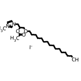 CCCCCCCCCCCCCCCCOCC(Cn1cc[n+](C)c1)OC(C)=O.[I-]